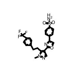 Cn1ncc(-c2nc(-c3ccc(S(N)(=O)=O)cc3)co2)c1CCc1ccc(C(F)(F)F)cc1